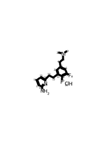 CN(C)CCc1cc(F)c(F)c(CCc2cccc(N)n2)c1.Cl